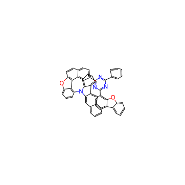 c1ccc(-c2nc(-c3ccc4ccc5oc6cccc(-n7c8ccccc8c8cc9ccccc9cc87)c6c5c4c3)nc(-c3cccc4c3oc3ccccc34)n2)cc1